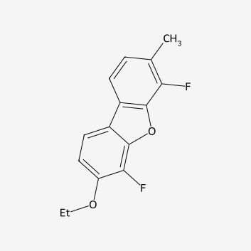 CCOc1ccc2c(oc3c(F)c(C)ccc32)c1F